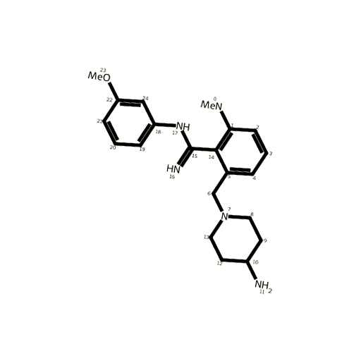 CNc1cccc(CN2CCC(N)CC2)c1C(=N)Nc1cccc(OC)c1